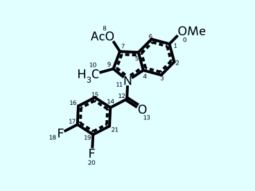 COc1ccc2c(c1)c(OC(C)=O)c(C)n2C(=O)c1ccc(F)c(F)c1